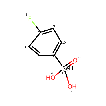 O=[SeH](O)(O)c1ccc(F)cc1